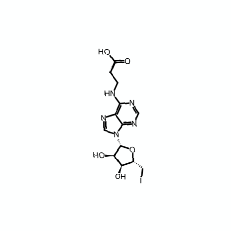 O=C(O)CCNc1ncnc2c1ncn2[C@@H]1O[C@H](CI)[C@@H](O)[C@H]1O